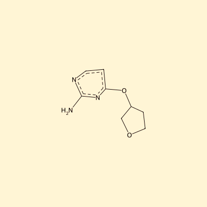 Nc1nccc(OC2CCOC2)n1